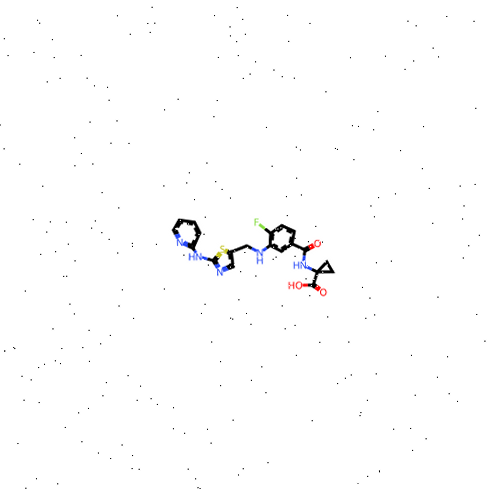 O=C(NC1(C(=O)O)CC1)c1ccc(F)c(NCc2cnc(Nc3ccccn3)s2)c1